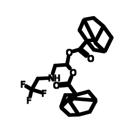 O=C(OC(CNCC(F)(F)F)OC(=O)C12CC3CC(CC(C3)C1)C2)C12CC3CC(CC(C3)C1)C2